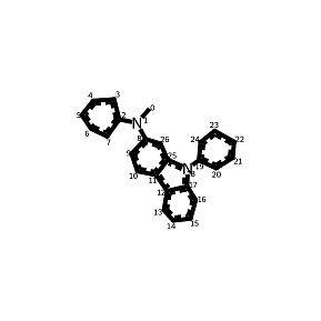 CN(c1ccccc1)c1ccc2c3ccccc3n(-c3ccccc3)c2c1